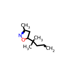 C=CCC(C)(C)C1CC(C)=NO1